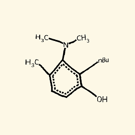 CCCCc1c(O)ccc(C)c1N(C)C